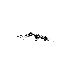 Bc1ccc(COc2cnn(CCc3ccc4c(c3)CN(C(=O)O)C4)c(=O)c2)nc1